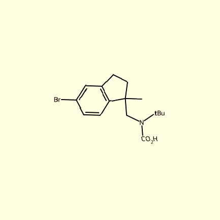 CC1(CN(C(=O)O)C(C)(C)C)CCc2cc(Br)ccc21